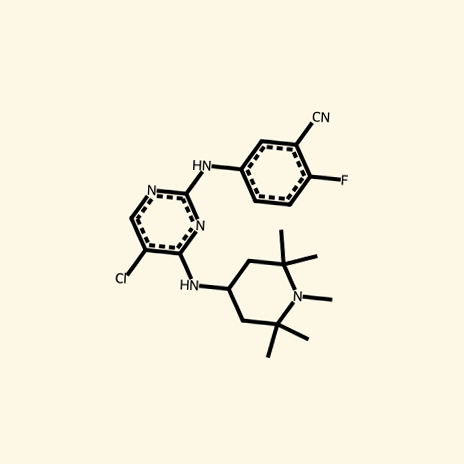 CN1C(C)(C)CC(Nc2nc(Nc3ccc(F)c(C#N)c3)ncc2Cl)CC1(C)C